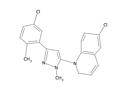 Cc1ccc(Cl)cc1-c1cc(N2CC=Cc3cc(Cl)ccc32)n(C)n1